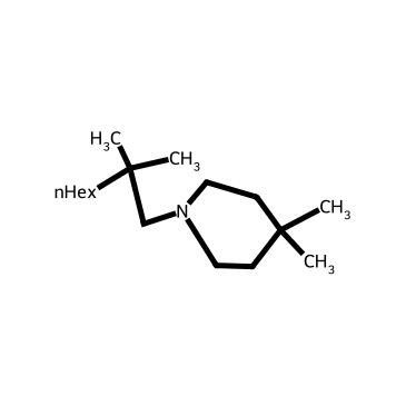 CCCCCCC(C)(C)CN1CCC(C)(C)CC1